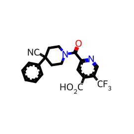 N#CC1(c2ccccc2)CCN(C(=O)c2cc(C(=O)O)c(C(F)(F)F)cn2)CC1